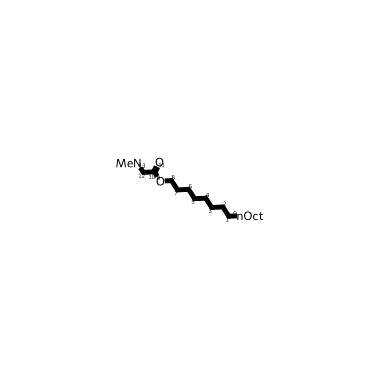 CCCCCCCCCCCCCCCCOC(=O)CNC